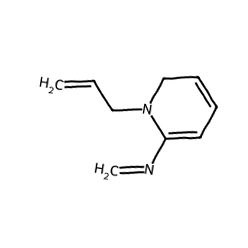 C=CCN1CC=CC=C1N=C